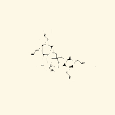 C=CCN1C(=O)N(CC=C)C2OC2N(CC2(Cn3c(=O)n(CC=C)c(=O)n(CC=C)c3=O)COP(=O)(OCC)OC2)C1=O